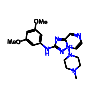 COc1cc(NC2=N[N+]3(N4CCN(C)CC4)C=CN=CC3=N2)cc(OC)c1